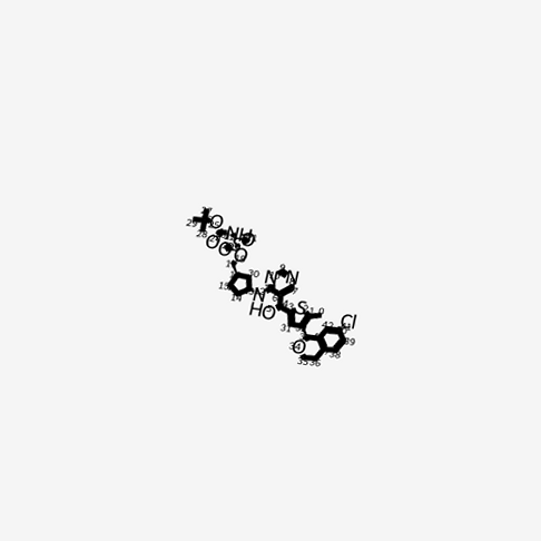 Cc1sc(C(=O)c2cncnc2N[C@@H]2C[CH][C@@H](COS(=O)(=O)NC(=O)OC(C)(C)C)C2)cc1[C@@H]1OCCc2ccc(Cl)cc21